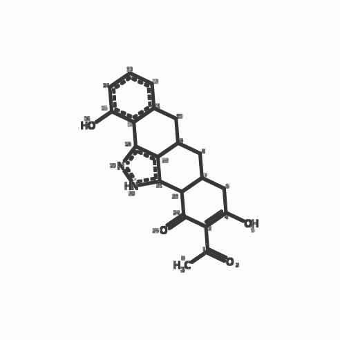 CC(=O)C1=C(O)CC2CC3Cc4cccc(O)c4-c4n[nH]c(c43)C2C1=O